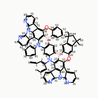 C=C/C=C(\C=C/C)N1c2cc3c(cc2B2c4cc5c(cc4Oc4c2c1c1c2cccnc2n2c6ncccc6c4c12)C(C)(C)CC5(C)C)B1c2ccccc2Oc2c1c(c1c4cccnc4n4c5ncccc5c2c14)N3c1ccccc1